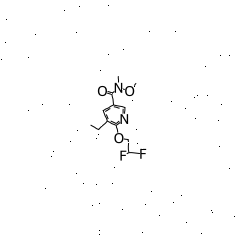 CCc1cc(C(=O)N(C)OC)cnc1OCC(F)F